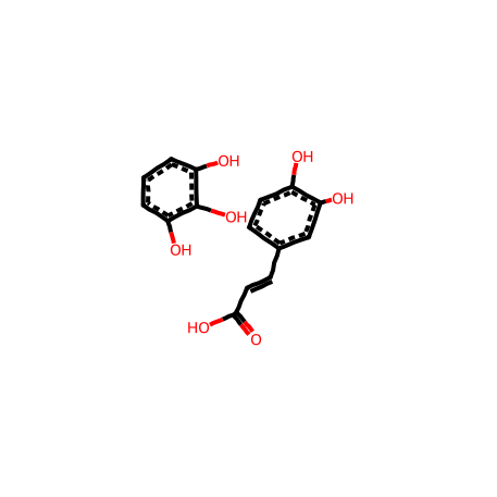 O=C(O)C=Cc1ccc(O)c(O)c1.Oc1cccc(O)c1O